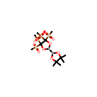 CC1(C)OB(B2OC(S(C)(=O)=O)(S(C)(=O)=O)C(S(C)(=O)=O)(S(C)(=O)=O)O2)OC1(C)C